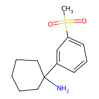 CS(=O)(=O)c1cccc(C2(N)CCCCC2)c1